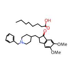 CCCCCCCC(=O)O.COc1cc2c(cc1OC)C(=O)C(CC1CCN(Cc3ccccc3)CC1)C2